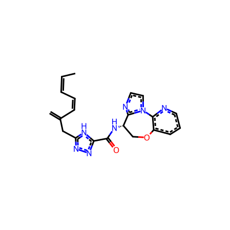 C=C(/C=C\C=C/C)Cc1nnc(C(=O)N[C@H]2COc3cccnc3-n3ccnc32)[nH]1